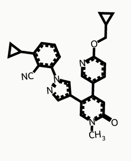 Cn1cc(-c2cnn(-c3cccc(C4CC4)c3C#N)c2)c(-c2ccc(OCC3CC3)nc2)cc1=O